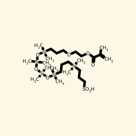 C=C(C)C(=O)OCCOCCC[Si](C)(C)O[Si](C)(C)O[Si](C)(C)O[Si](C)(C)CCC[N+](C)(C)CCCS(=O)(=O)O